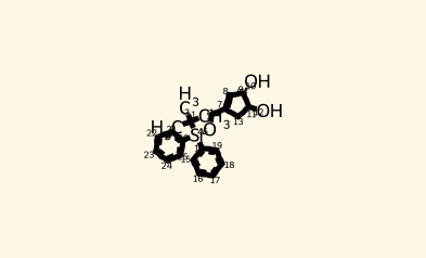 CC(C)(C)[Si](OCC1=C[C@H](O)C(O)C1)(c1ccccc1)c1ccccc1